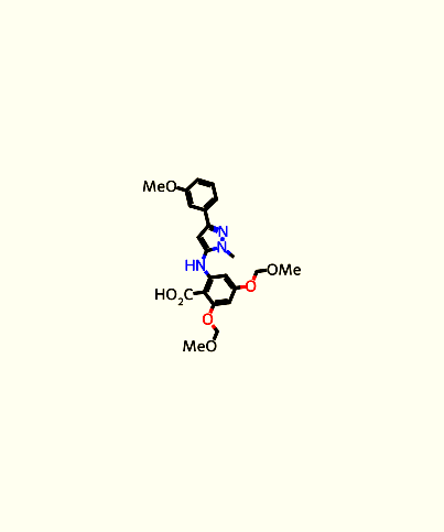 COCOc1cc(Nc2cc(-c3cccc(OC)c3)nn2C)c(C(=O)O)c(OCOC)c1